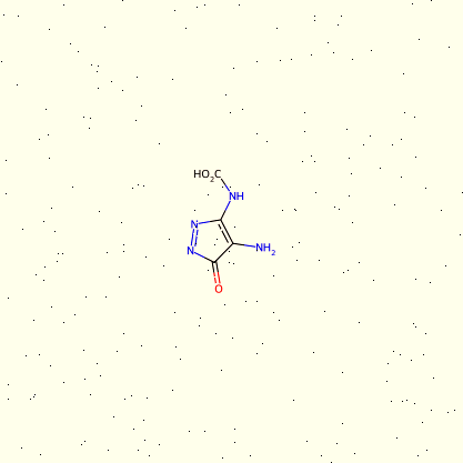 NC1=C(NC(=O)O)N=NC1=O